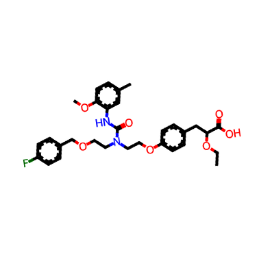 CCOC(Cc1ccc(OCCN(CCOCc2ccc(F)cc2)C(=O)Nc2cc(C)ccc2OC)cc1)C(=O)O